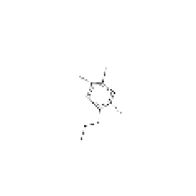 CCCc1cc(C)c(C)cc1C